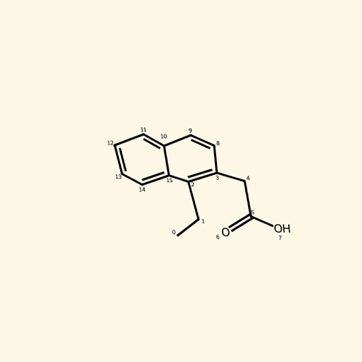 CCc1c(CC(=O)O)ccc2ccccc12